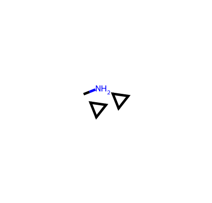 C1CC1.C1CC1.CN